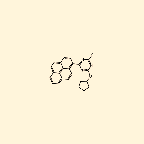 Clc1nc(OC2CCCC2)nc(-c2ccc3ccc4cccc5ccc2c3c45)n1